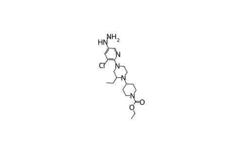 CCOC(=O)N1CCC(N2CCN(c3ncc(NN)cc3Cl)CC2CC)CC1